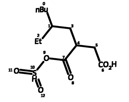 CCCCC(CC)CC(CC(=O)O)C(=O)O[SH](=O)=O